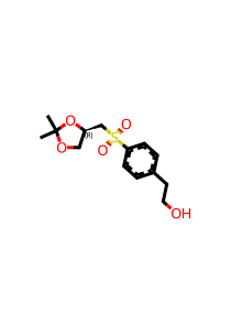 CC1(C)OC[C@H](CS(=O)(=O)c2ccc(CCO)cc2)O1